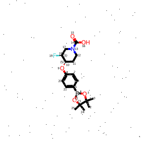 CC1(C)OB(c2ccc(O[C@H]3CCN(C(=O)O)C[C@@H]3F)cc2)OC1(C)C